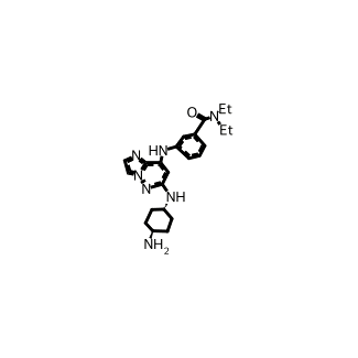 CCN(CC)C(=O)c1cccc(Nc2cc(N[C@H]3CC[C@H](N)CC3)nn3ccnc23)c1